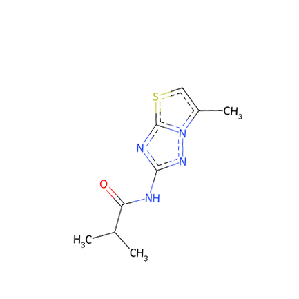 Cc1csc2nc(NC(=O)C(C)C)nn12